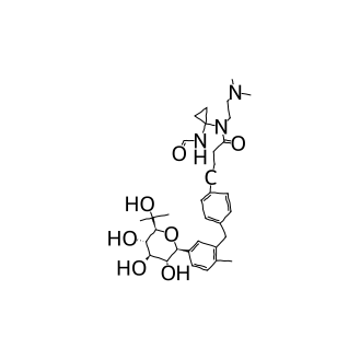 Cc1ccc([C@@H]2O[C@H](C(C)(C)O)[C@@H](O)[C@H](O)[C@H]2O)cc1Cc1ccc(CCCC(=O)N(CCN(C)C)C2(NC=O)CC2)cc1